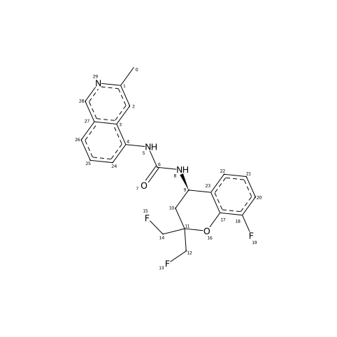 Cc1cc2c(NC(=O)N[C@@H]3CC(CF)(CF)Oc4c(F)cccc43)cccc2cn1